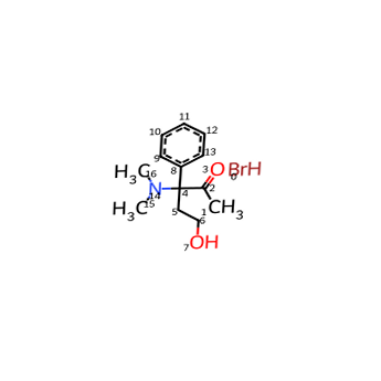 Br.CC(=O)C(CCO)(c1ccccc1)N(C)C